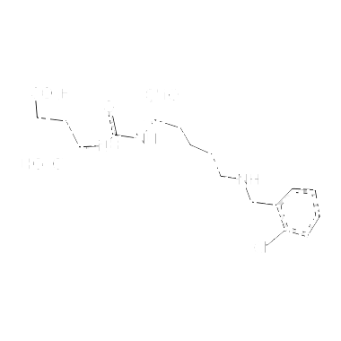 O=C[C@H](CCCCNCc1ccccc1Cl)NC(=O)N[C@@H](CCC(=O)O)C(=O)O